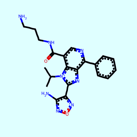 CC(C)n1c(-c2nonc2N)nc2c(-c3ccccc3)ncc(C(=O)NCCCN)c21